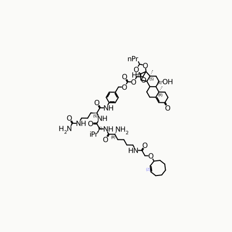 CCCC1O[C@@H]2CC3C4CCC5=CC(=O)CC[C@]5(C)C4[C@@H](O)C[C@]3(C)C2(C(=O)COC(=O)OCc2ccc(NC(=O)[C@H](CCCNC(N)=O)NC(=O)[C@@H](NC(=O)[C@H](N)CCCCNC(=O)COC3/C=C\CCCCC3)C(C)C)cc2)O1